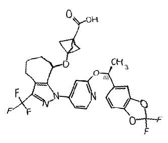 C[C@H](Oc1cc(-n2nc(C(F)(F)F)c3c2C(OC24CC(C(=O)O)(C2)C4)CCC3)ccn1)c1ccc2c(c1)OC(F)(F)O2